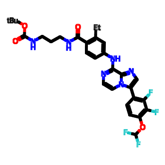 CCc1cc(Nc2nccn3c(-c4ccc(OC(F)F)c(F)c4F)cnc23)ccc1C(=O)NCCCNC(=O)OC(C)(C)C